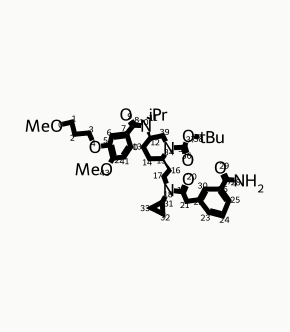 COCCCOc1cc(C(=O)N(C(C)C)[C@@H]2CC[C@H](CCN(C(=O)Cc3cccc(C(N)=O)c3)C3CC3)N(C(=O)OC(C)(C)C)C2)ccc1OC